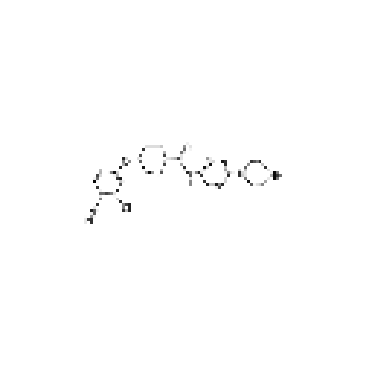 N#Cc1ccc(OC2CCC(C(=O)Nc3ccc(N4CCNCC4)nn3)CC2)cc1Cl